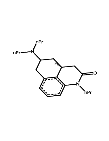 CCCN1C(=O)C[C@@H]2CC(N(CCC)CCC)Cc3cccc1c32